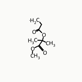 [CH2]CC(=O)OC(C)(C)C(=O)OC